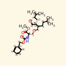 COC(=O)[C@H](COC[C@H](CCC(C)C)[C@H](C=O)CCC(C)C)NC(=O)OCc1ccccc1